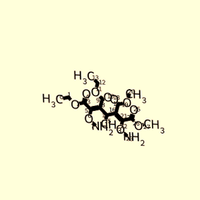 CCOC(=O)C(ON)=C(C(=O)OCC)C(C)C(C(=O)OC)=C(ON)C(=O)OC